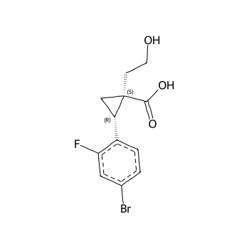 O=C(O)[C@]1(CCO)C[C@H]1c1ccc(Br)cc1F